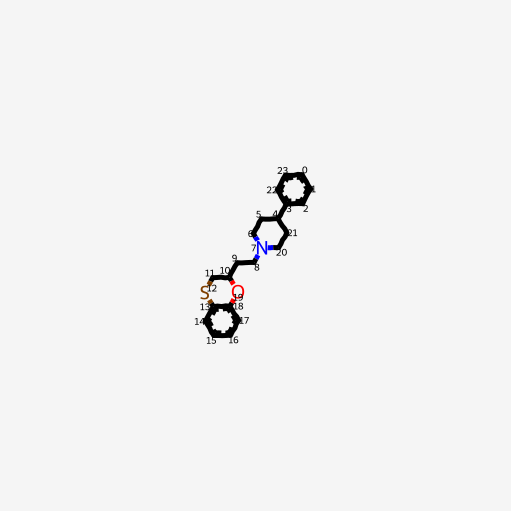 c1ccc(C2CCN(CCC3CSc4ccccc4O3)CC2)cc1